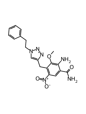 COc1c(N)c(C(N)=O)cc([N+](=O)[O-])c1Cc1cn(CCc2ccccc2)nn1